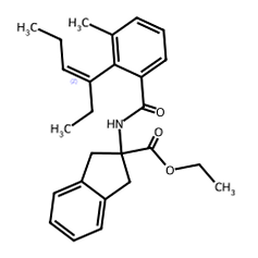 CC/C=C(/CC)c1c(C)cccc1C(=O)NC1(C(=O)OCC)Cc2ccccc2C1